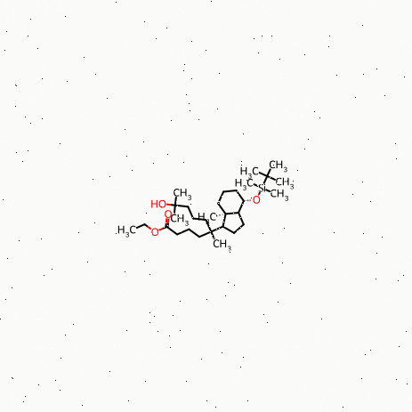 CCOC(=O)CCCC(C)(CCCC(C)(C)O)C1CCC2[C@@H](O[Si](C)(C)C(C)(C)C)CCC[C@@]21C